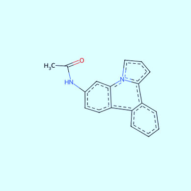 CC(=O)Nc1ccc2c3ccccc3c3cccn3c2c1